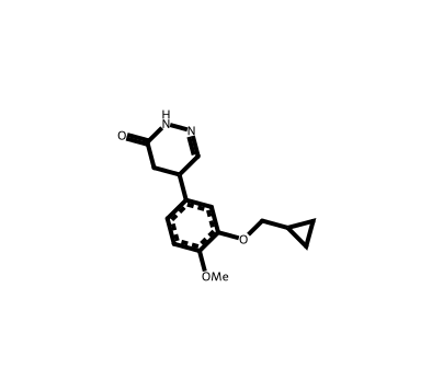 COc1ccc(C2C=NNC(=O)C2)cc1OCC1CC1